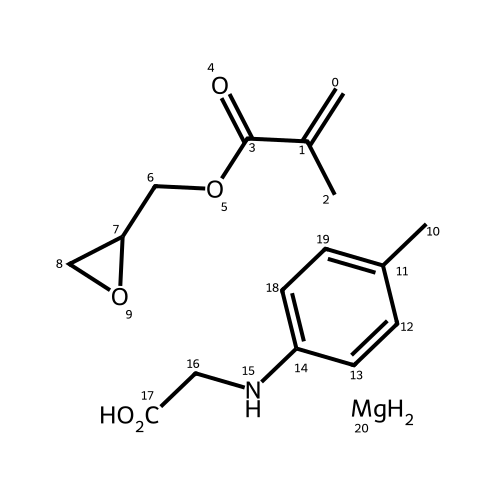 C=C(C)C(=O)OCC1CO1.Cc1ccc(NCC(=O)O)cc1.[MgH2]